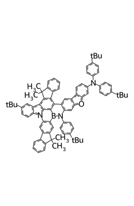 CC(C)(C)c1ccc(N2B3c4cc5c(cc4-n4c6ccc(C(C)(C)C)cc6c6c7c(c(c3c64)-c3cc4c(cc32)oc2cc(N(c3ccc(C(C)(C)C)cc3)c3ccc(C(C)(C)C)cc3)ccc24)-c2ccccc2C7(C)C)-c2ccccc2C5(C)C)cc1